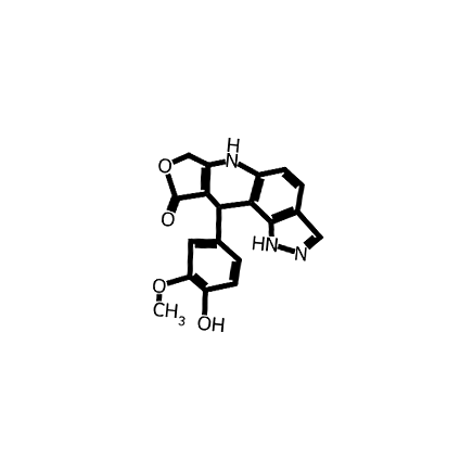 COc1cc(C2C3=C(COC3=O)Nc3ccc4cn[nH]c4c32)ccc1O